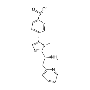 Cn1c(-c2ccc([N+](=O)[O-])cc2)cnc1[C@@H](N)Cc1ccccn1